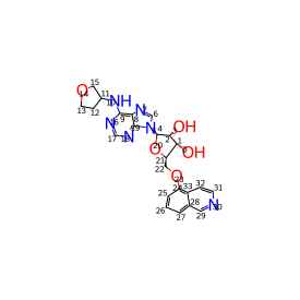 O[C@@H]1[C@H](O)[C@H](n2cnc3c(NC4CCOC4)ncnc32)O[C@@H]1COc1cccc2cnccc12